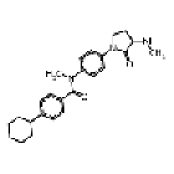 CNC1CCN(c2ccc(N(C)C(=O)c3ccc(C4CCCCC4)cc3)cc2)C1=O